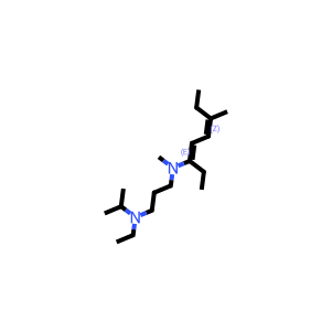 CC/C(C)=C\C=C(/CC)N(C)CCCN(CC)C(C)C